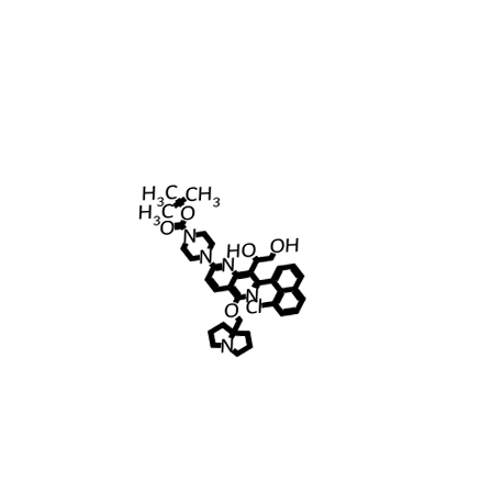 CC(C)(C)OC(=O)N1CCN(c2ccc3c(OCC45CCCN4CCC5)nc(-c4cccc5cccc(Cl)c45)c(C(O)CO)c3n2)CC1